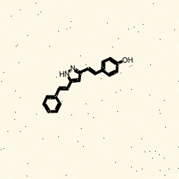 Oc1ccc(C=Cc2cc(C=Cc3ccccc3)[nH]n2)cc1